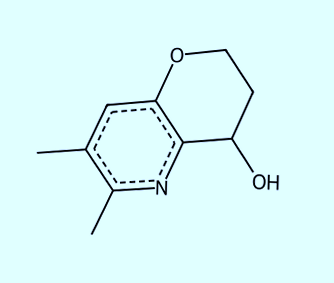 Cc1cc2c(nc1C)C(O)CCO2